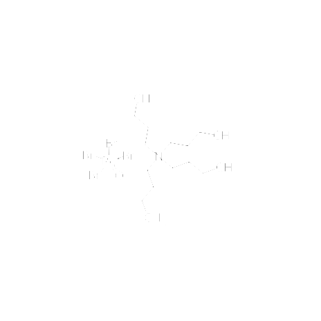 CCCC[N+](CCCC)(CCCC)CCCC.[O]=[Re-]([Br])([Br])([Br])[Br]